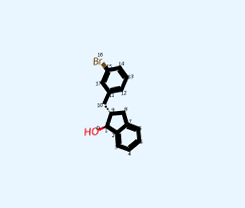 O[C@@H]1c2ccccc2C[C@H]1Cc1cccc(Br)c1